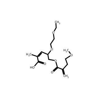 C=C(CCOC)C(=O)OCC(C=C(C)C(=O)O)OCCOCC